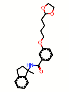 CC1(NC(=O)c2cccc(OCCCCC3OCCO3)c2)CCc2ccccc21